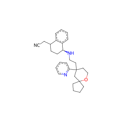 N#CCC1CC[C@H](NCCC2(c3ccccn3)CCOC3(CCCC3)C2)c2ccccc21